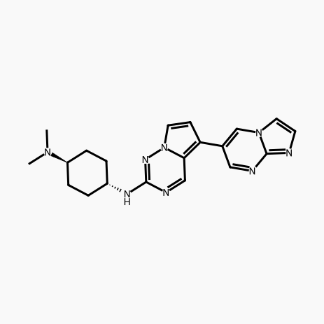 CN(C)[C@H]1CC[C@H](Nc2ncc3c(-c4cnc5nccn5c4)ccn3n2)CC1